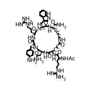 CC(=O)N[C@@H](CCCNC(=N)N)C(=O)N[C@H]1CCC(=O)NCCC[C@@H](C(N)=O)NC(=O)[C@H](Cc2c[nH]c3ccccc23)NC(=O)[C@H](CCCNC(=N)N)NC(=O)[C@@H](Cc2ccc(N)cc2)NC(=O)[C@H](CCN)NC1=O